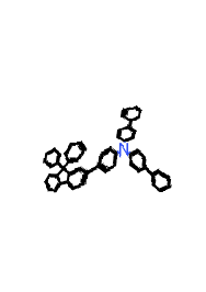 C1=C=C(N(c2ccc(-c3ccccc3)cc2)c2ccc(-c3ccc4c(c3)C(c3ccccc3)(c3ccccc3)c3ccccc3-4)cc2)C=CC=1c1ccccc1